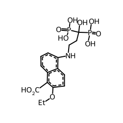 CCOc1ccc2c(NCCC(O)(P(=O)(O)O)P(=O)(O)O)cccc2c1C(=O)O